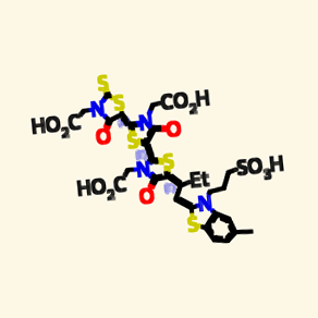 CC/C(C=C1Sc2ccc(C)cc2N1CCCS(=O)(=O)O)=c1\s/c(=c2/s/c(=C3/SC(=S)N(CC(=O)O)C3=O)n(CC(=O)O)c2=O)n(CC(=O)O)c1=O